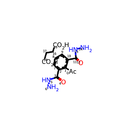 CC(=O)c1c(C(=O)NN)cccc1C(=O)NN.O=C(O)CCC(=O)O